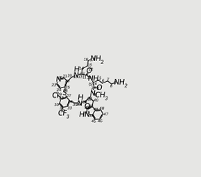 CN1C(=O)[C@H](CCCCN)NC(=O)[C@H](CCCN)NCc2cnccc2Sc2c(Cl)cc(C(F)(F)F)cc2CNC(=O)[C@@H]1Cc1c[nH]c2ccccc12